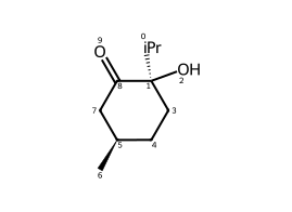 CC(C)[C@]1(O)CC[C@@H](C)CC1=O